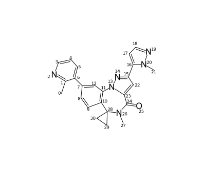 Cc1ncccc1-c1ccc2c(c1)-n1nc(-c3ccnn3C)cc1C(=O)N(C)C21CC1